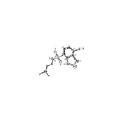 CN(C)CCNS(=O)(=O)c1ccc(F)c2n[se]nc12